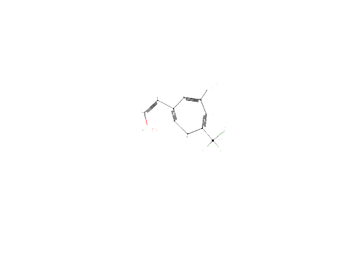 BC1=CC(/C=C\O)=CCC(C(F)(F)F)=C1